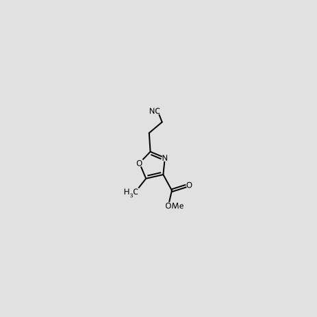 COC(=O)c1nc(CCC#N)oc1C